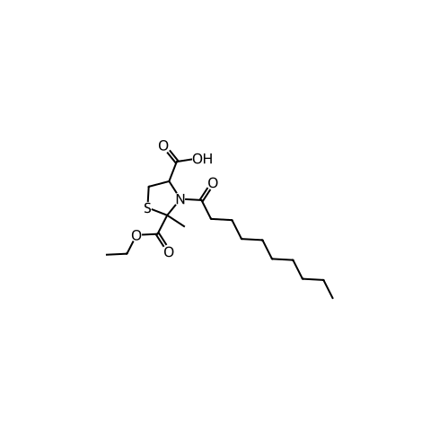 CCCCCCCCCC(=O)N1C(C(=O)O)CSC1(C)C(=O)OCC